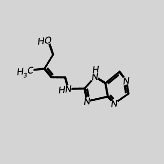 CC(=CCNc1nc2ncncc2[nH]1)CO